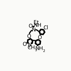 CCNC(=O)N1CCOc2cc(=O)n(C)cc2-c2cc(N)ccc2Oc2ccc(Cl)cc2C1